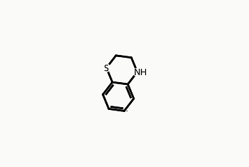 [c]1ccc2c(c1)NCCS2